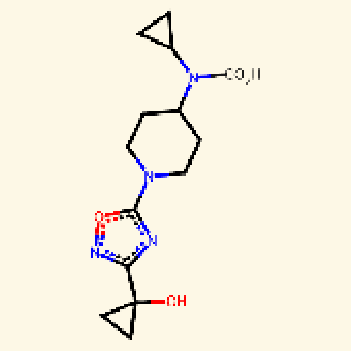 O=C(O)N(C1CC1)C1CCN(c2nc(C3(O)CC3)no2)CC1